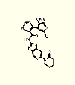 COc1cnc(Cl)cc1-c1ccncc1C(=O)Nc1nc2cnc(N3CCCCC3=O)cc2s1